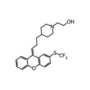 OCCN1CCC(CCC=C2c3ccccc3Oc3ccc(SC(F)(F)F)cc32)CC1